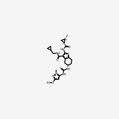 CCOc1cc(NC(=S)N[C@H]2CCc3sc(NC(=O)[C@H]4C[C@@H]4F)c(C(=O)NCC4CC4)c3C2)n(C)n1